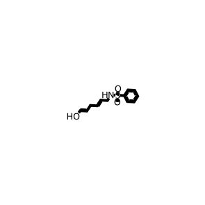 O=S(=O)(NCC=CCC=CO)c1ccccc1